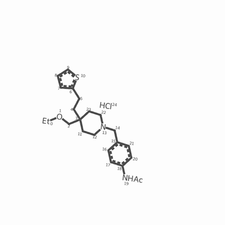 CCOCC1(CCc2cccs2)CCN(Cc2ccc(NC(C)=O)cc2)CC1.Cl